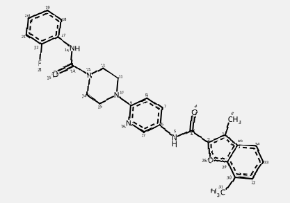 Cc1c(C(=O)Nc2ccc(N3CCN(C(=O)Nc4ccccc4F)CC3)nc2)oc2c(C)cccc12